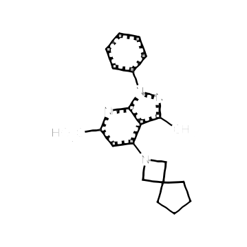 Cc1nn(-c2ccccc2)c2nc(C(=O)O)cc(N3CC4(CCCC4)C3)c12